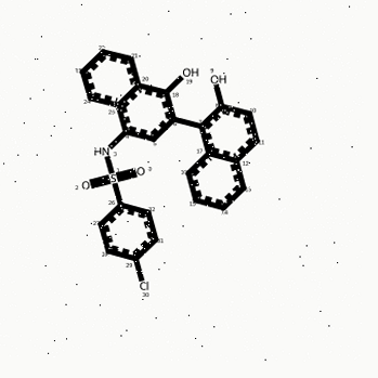 O=S(=O)(Nc1cc(-c2c(O)ccc3ccccc23)c(O)c2ccccc12)c1ccc(Cl)cc1